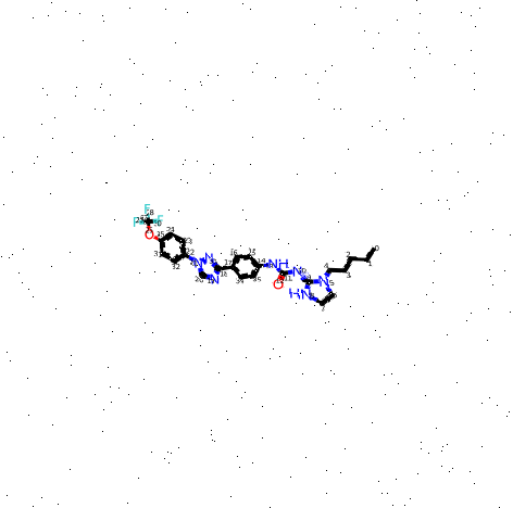 CCCCCN1CCN/C1=N\C(=O)Nc1ccc(-c2ncn(-c3ccc(OC(F)(F)F)cc3)n2)cc1